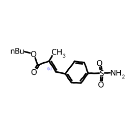 CCCCOC(=O)/C(C)=C/c1ccc(S(N)(=O)=O)cc1